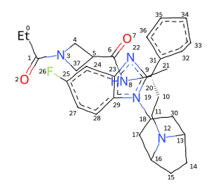 CCC(=O)N1CC(C(=O)N[C@@H](CCN2C3CCC2CC(n2c(C)nc4cc(F)ccc42)C3)c2ccccc2)C1